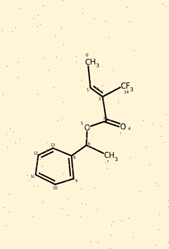 CC=C(C(=O)OC(C)c1ccccc1)C(F)(F)F